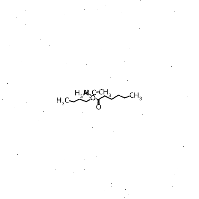 CC.CCCCCC(=O)OCCCC.[AlH3]